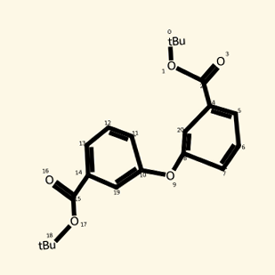 CC(C)(C)OC(=O)c1cc[c]c(Oc2[c]ccc(C(=O)OC(C)(C)C)c2)c1